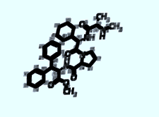 CN[C@@H](C)C(=O)N[C@H](C(=O)N1CCCC1C(=O)N[C@H](C(=O)OC)C(c1ccccc1)c1ccccc1)C1CCCCC1